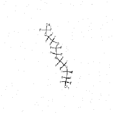 [CH2]C(F)(F)OC(F)(F)C(F)(F)OC(F)(F)C(F)(F)OC(F)(F)C(F)(F)OC(F)(F)C(F)(F)C(F)(F)C(F)(F)F